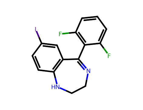 Fc1cccc(F)c1C1=NCCNc2ccc(I)cc21